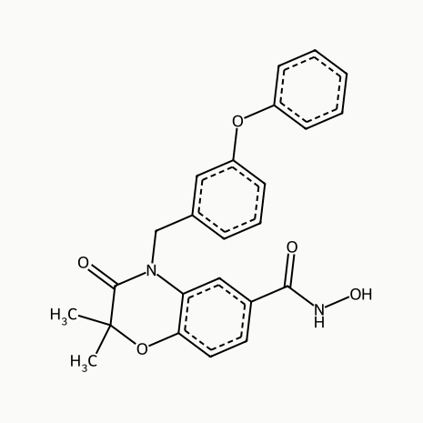 CC1(C)Oc2ccc(C(=O)NO)cc2N(Cc2cccc(Oc3ccccc3)c2)C1=O